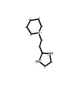 [CH](CC1NCCN1)N1CCCCC1